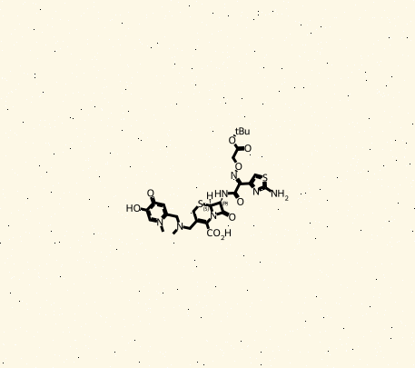 CN(CC1=C(C(=O)O)N2C(=O)[C@@H](NC(=O)C(=NOCC(=O)OC(C)(C)C)c3csc(N)n3)[C@@H]2SC1)Cc1cc(=O)c(O)cn1C